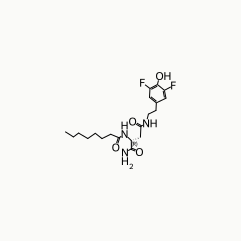 CCCCCCCC(=O)N[C@H](CC(=O)NCCc1cc(F)c(O)c(F)c1)C(N)=O